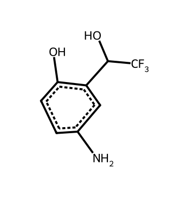 Nc1ccc(O)c(C(O)C(F)(F)F)c1